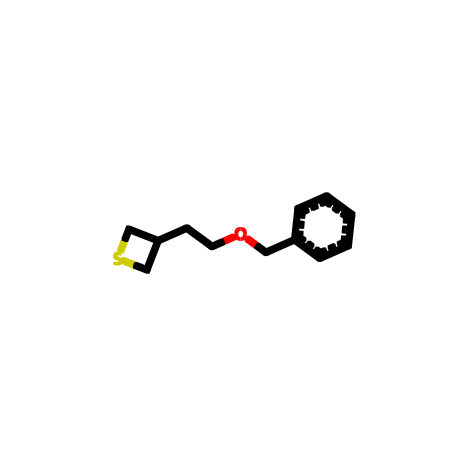 c1ccc(COCCC2CSC2)cc1